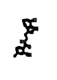 Cc1ccc(C(=O)NCCc2c[nH]c3c(Cl)cccc23)c(O)c1